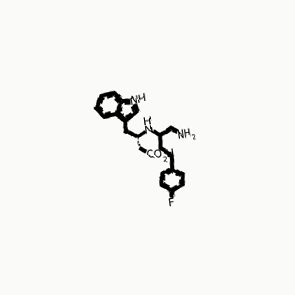 NCC(CCc1ccc(F)cc1)N[C@H](CC(=O)O)Cc1c[nH]c2ccccc12